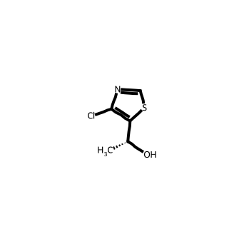 C[C@@H](O)c1scnc1Cl